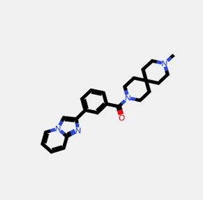 CN1CCC2(CC1)CCN(C(=O)c1cccc(-c3cn4ccccc4n3)c1)CC2